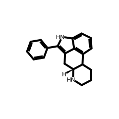 c1ccc(-c2[nH]c3cccc4c3c2C[C@H]2NCCCC42)cc1